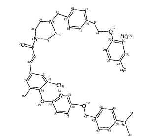 Cc1cc(/C=C/C(=O)N2CCN(Cc3ccc(CCOc4ccc(F)cc4)cc3)CC2)cc(Cl)c1Oc1ccc(OCc2ccc(C(C)C)cc2)cn1.Cl